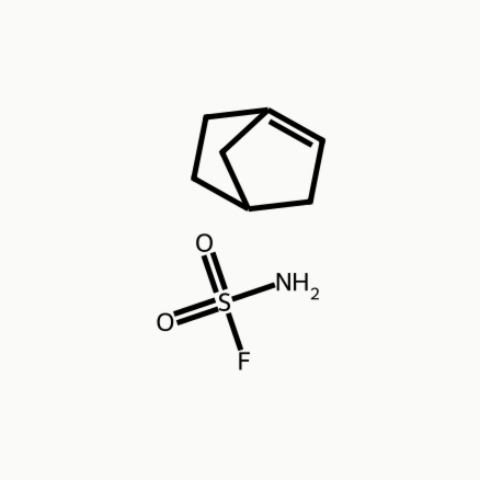 C1=C2CCC(C1)C2.NS(=O)(=O)F